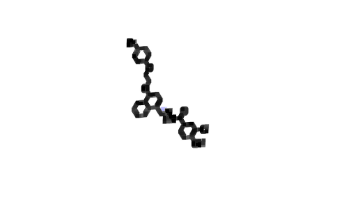 O=C(N/N=C/c1ccc(OCCOc2ccc(Br)cc2)c2ccccc12)c1ccc(O)c(Cl)c1